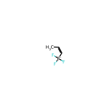 C/C=C\[B-](F)(F)F